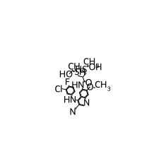 CCOc1cc2ncc(C#N)c(Nc3ccc(F)c(Cl)c3)c2cc1NC(=O)C(C[SH]=C(C)O)C[SH]=C(C)O